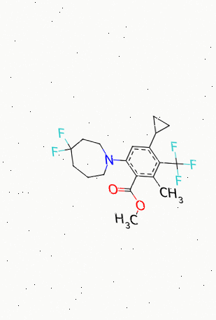 COC(=O)c1c(N2CCCC(F)(F)CC2)cc(C2CC2)c(C(F)(F)F)c1C